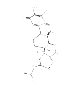 CC1=C(O)C(=O)C=C2C1=CC=C1[C@@]2(C)CC[C@@]2(C)[C@@H]3C[C@](C)(NC(C)O)CC[C@]3(C)CC[C@]12C